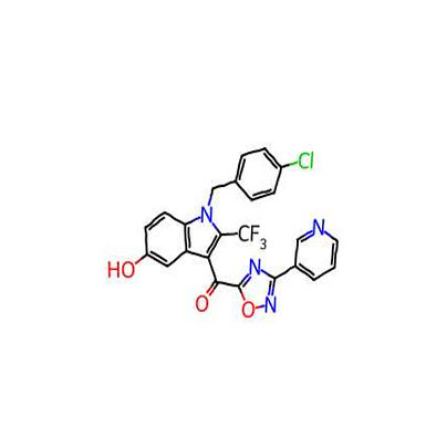 O=C(c1nc(-c2cccnc2)no1)c1c(C(F)(F)F)n(Cc2ccc(Cl)cc2)c2ccc(O)cc12